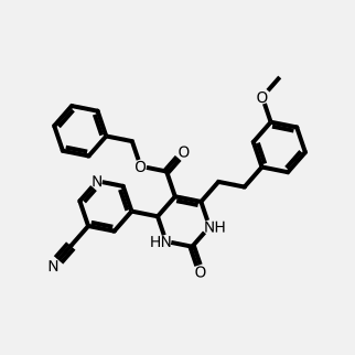 COc1cccc(CCC2=C(C(=O)OCc3ccccc3)C(c3cncc(C#N)c3)NC(=O)N2)c1